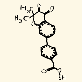 CC1(C)Oc2cc(-c3ccc(C(=O)OS)cc3)ccc2C(=O)C1=O